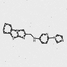 c1ccc2c(c1)sc1nc(CNc3ccc(-n4ccnc4)nc3)cn12